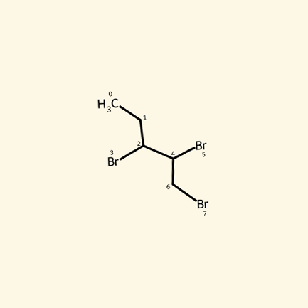 CCC(Br)C(Br)CBr